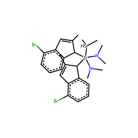 CC1=Cc2c(Br)cccc2[CH]1[Zr]([CH]1C(C)=Cc2c(Br)cccc21)([N](C)C)([N](C)C)[SiH](C)C